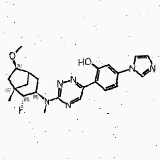 CO[C@@H]1C[C@]2(C)CC1C[C@@H](N(C)c1ncc(-c3ccc(-n4ccnc4)cc3O)nn1)[C@@H]2F